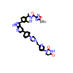 Cc1cc(-c2n[nH]c3ncc(-c4ccc(N5CCN(CCc6ccc(N7CCC(=O)NC7=O)cn6)CC5)cc4)cc23)ccc1C(C)NC(=O)c1noc(C(C)(C)C)n1